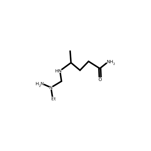 CCN(N)CNC(C)CCC(N)=O